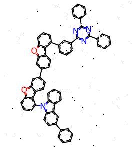 c1ccc(-c2ccc3c(c2)c2ccccc2n3-c2cccc3oc4cc(-c5ccc6c(c5)oc5cccc(-c7cccc(-c8nc(-c9ccccc9)nc(-c9ccccc9)n8)c7)c56)ccc4c23)cc1